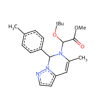 COC(=O)C(OC(C)(C)C)N1C(C)=Cc2ccnn2C1c1ccc(C)cc1